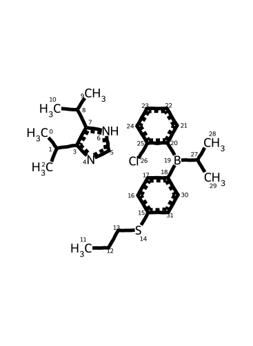 CC(C)c1nc[nH]c1C(C)C.CCCSc1ccc(B(c2ccccc2Cl)C(C)C)cc1